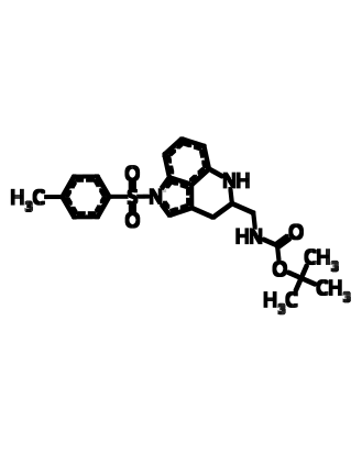 Cc1ccc(S(=O)(=O)n2cc3c4c(cccc42)NC(CNC(=O)OC(C)(C)C)C3)cc1